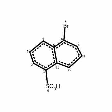 O=S(=O)(O)c1cccc2c(Br)cccc12